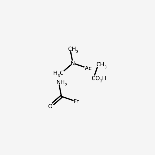 CC(=O)N(C)C.CC(=O)O.CCC(N)=O